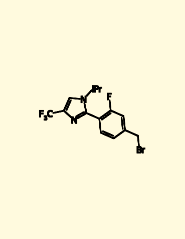 CC(C)n1cc(C(F)(F)F)nc1-c1ccc(CBr)cc1F